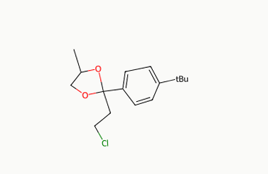 CC1COC(CCCl)(c2ccc(C(C)(C)C)cc2)O1